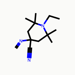 C=NC1(C#N)CC(C)(C)N(CC)C(C)(C)C1